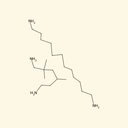 CC(CCN)CC(C)(C)CN.NCCCCCCCCCCCCN